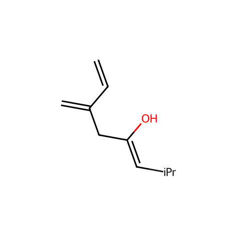 C=CC(=C)CC(O)=CC(C)C